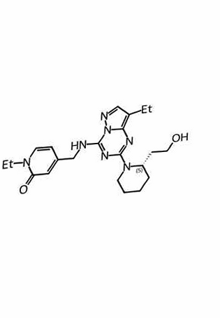 CCc1cnn2c(NCc3ccn(CC)c(=O)c3)nc(N3CCCC[C@H]3CCO)nc12